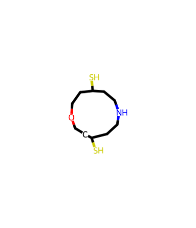 SC1CCNCCC(S)CCOCC1